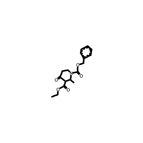 CCOC(=O)C1C(=O)CCN(C(=O)OCc2ccccc2)C1C